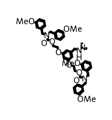 COc1cccc(CN(Cc2cccc(OC)c2)C(=O)OCCOc2cc(CNN(C)C)cc(OCCOC(=O)N(Cc3cccc(OC)c3)Cc3cccc(OC)c3)c2)c1